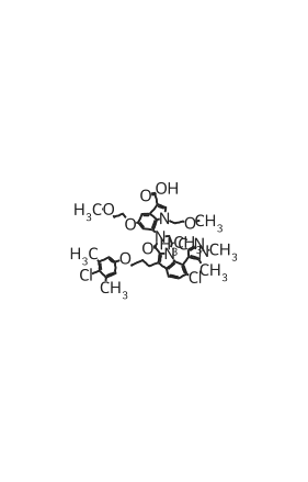 COCCOc1cc(N2C[C@@H](C)n3c(c(CCCOc4cc(C)c(Cl)c(C)c4)c4ccc(Cl)c(-c5c(C)nn(C)c5C)c43)C2=O)c2c(c1)c(C(=O)O)cn2CCOC